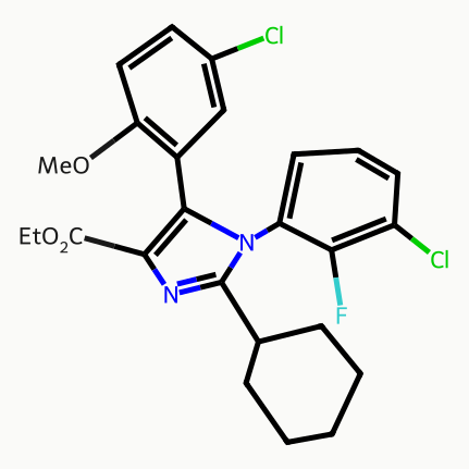 CCOC(=O)c1nc(C2CCCCC2)n(-c2cccc(Cl)c2F)c1-c1cc(Cl)ccc1OC